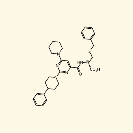 O=C(N[C@@H](CSCc1ccccc1)C(=O)O)c1cc(N2CCCCC2)nc(N2CCC(c3ccccc3)CC2)n1